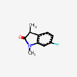 CC1C(=O)N(C)c2cc(F)ccc21